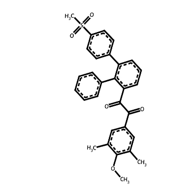 COc1c(C)cc(C(=O)C(=O)c2cccc(-c3ccc(S(C)(=O)=O)cc3)c2-c2ccccc2)cc1C